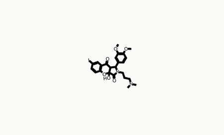 COc1ccc(C2C3C(=O)c4cc(I)ccc4OC3(O)C(=O)N2CCCN(C)C)cc1OC